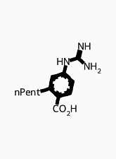 CCCCCc1cc(NC(=N)N)ccc1C(=O)O